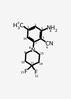 Cc1cc(N)c(C#N)c(N2CCC(F)(F)CC2)c1